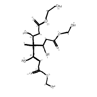 CC(C(S)CC(=O)OCO)(C(S)CC(=O)OCO)C(S)CC(=O)OCO